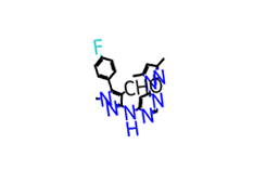 Cc1cc(C)n(-c2cc(Nc3nn(C)c(-c4ccc(F)cc4)c3C=O)ncn2)n1